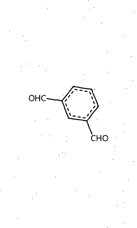 O=Cc1c[c]cc(C=O)c1